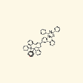 c1ccc(-c2nc(-c3ccccc3)nc(-c3ccccc3-c3cccc(-c4ccc5c(c4)-c4ccccc4C(c4ccccc4)(c4ccccc4)C5(c4ccccc4)c4ccccc4)c3)n2)cc1